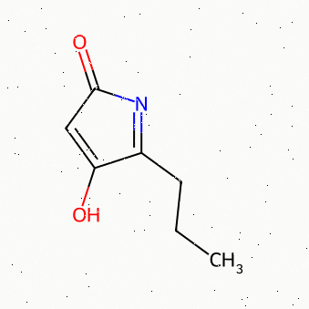 CCCC1=NC(=O)C=C1O